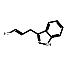 OC=CCc1n[nH]c2ccccc12